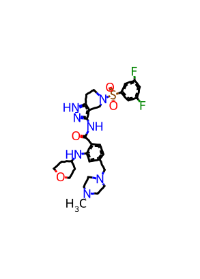 CN1CCN(Cc2ccc(C(=O)Nc3n[nH]c4c3CN(S(=O)(=O)c3cc(F)cc(F)c3)CC4)c(NC3CCOCC3)c2)CC1